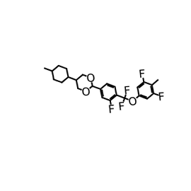 Cc1c(F)cc(OC(F)(F)c2ccc(C3OCC(C4CCC(C)CC4)CO3)cc2F)cc1F